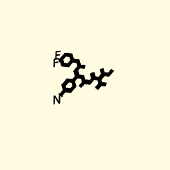 C=C(C)/C(C(=C)/C=C(/C)C/C(=C\C(C)CC1CCC(F)(F)CC1)C1C=CC(C#N)=CC1)=C(/C)CC